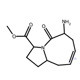 COC(=O)C1CCC2C/C=C\CC(N)C(=O)N21